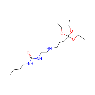 CCCCNC(=O)NCCNCCC[Si](OCC)(OCC)OCC